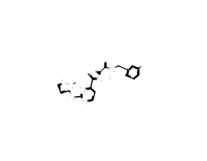 Cn1nccc1Nc1nccc(-c2coc(C(=O)NCc3cccc(Cl)c3)n2)n1